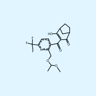 COC(C)OCc1nc(C(F)(F)F)ccc1C(=O)C1=C(O)C2CCC(C2)C1=O